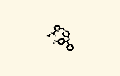 CCOC(=O)c1cccc(CN2CCC(OC(c3ccccc3)c3ccc(OC)cc3)CC2)n1